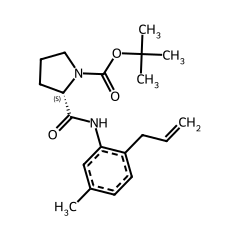 C=CCc1ccc(C)cc1NC(=O)[C@@H]1CCCN1C(=O)OC(C)(C)C